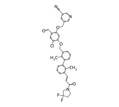 Cc1c(/C=C/C(=O)N2CCC(F)(F)C2)cccc1-c1cccc(COc2cc(OCc3cncc(C#N)c3)c(C=O)cc2Cl)c1C